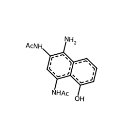 CC(=O)Nc1cc(NC(C)=O)c2c(O)cccc2c1N